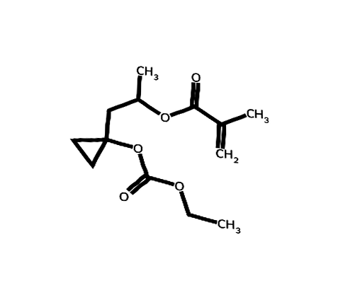 C=C(C)C(=O)OC(C)CC1(OC(=O)OCC)CC1